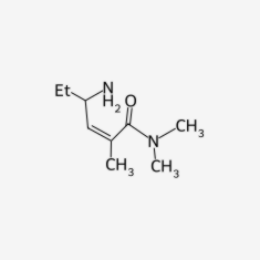 CCC(N)C=C(C)C(=O)N(C)C